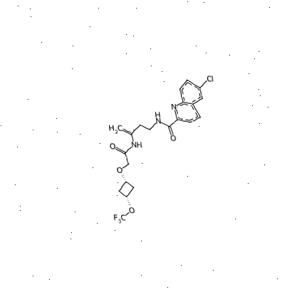 C=C(CCNC(=O)c1ccc2cc(Cl)ccc2n1)NC(=O)CO[C@H]1C[C@@H](OC(F)(F)F)C1